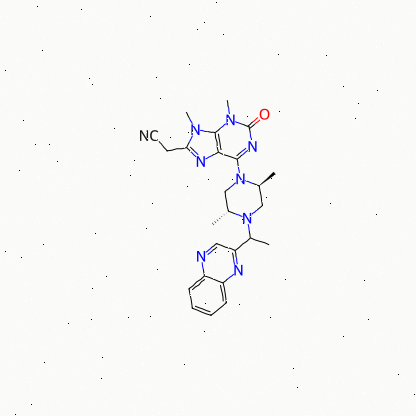 CC(c1cnc2ccccc2n1)N1C[C@H](C)N(c2nc(=O)n(C)c3c2nc(CC#N)n3C)C[C@H]1C